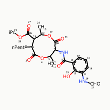 CCCCCC1C(=O)OC(C)C(NC(=O)c2cccc(NC=O)c2O)C(=O)OC(C)C1C(=O)OC(C)C